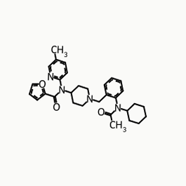 CC(=O)N(c1ccccc1CN1CCC(N(C(=O)c2ccco2)c2ccc(C)cn2)CC1)C1CCCCC1